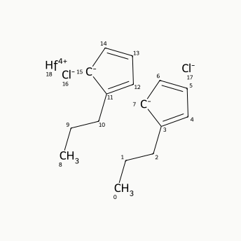 CCCc1ccc[cH-]1.CCCc1ccc[cH-]1.[Cl-].[Cl-].[Hf+4]